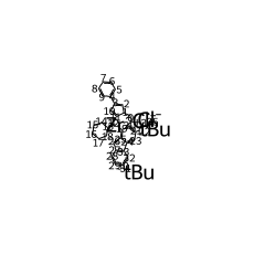 CC1C=C(c2ccccc2)C=[C]1[Zr+2](=[C]1CCCCC1)[c]1cc(C(C)(C)C)cc2c1Cc1ccc(C(C)(C)C)cc1-2.[Cl-].[Cl-]